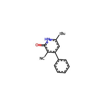 CC(C)(C)c1cc(-c2ccccc2)c(C#N)c(=O)[nH]1